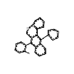 Cc1ccccc1-c1c2ccccc2c(-c2ccccc2)c2c1cnc1ccccc12